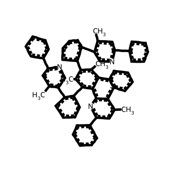 Cc1cc(-c2ccccc2)ncc1-c1ccccc1-c1c(C)c(-c2ccccc2-c2cnc(-c3ccccc3)cc2C)c2c3nc(-c4ccccc4)cc(C)c3c3ccccc3c2c1C